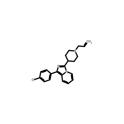 C=CCN1CCC(c2nc(-c3ccc(Cl)cc3)c3ccccn23)CC1